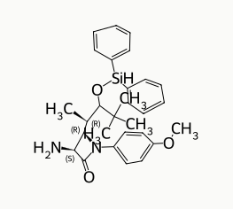 COc1ccc(N2C(=O)[C@@H](N)[C@H]2[C@@H](C)C(O[SiH](c2ccccc2)c2ccccc2)C(C)(C)C)cc1